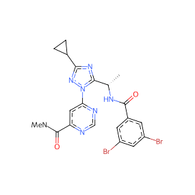 CNC(=O)c1cc(-n2nc(C3CC3)nc2[C@H](C)NC(=O)c2cc(Br)cc(Br)c2)ncn1